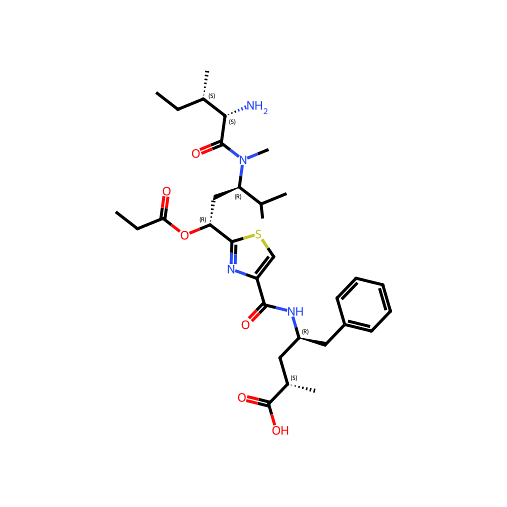 CCC(=O)O[C@H](C[C@H](C(C)C)N(C)C(=O)[C@@H](N)[C@@H](C)CC)c1nc(C(=O)N[C@@H](Cc2ccccc2)C[C@H](C)C(=O)O)cs1